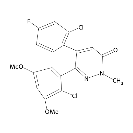 COc1cc(OC)c(Cl)c(-c2nn(C)c(=O)cc2-c2ccc(F)cc2Cl)c1